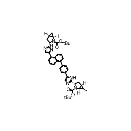 C[C@@H]1[C@@H]2C[C@@H](c3ncc(-c4ccc(-c5cccc6c(-c7cnc([C@@H]8C[C@H]9C[C@H]9N8C(=O)OC(C)(C)C)[nH]7)cccc56)cc4)[nH]3)N(C(=O)OC(C)(C)C)[C@H]12